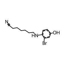 N#CCCCCCCNc1ccc(O)cc1Br